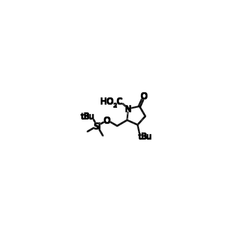 CC(C)(C)C1CC(=O)N(C(=O)O)C1CO[Si](C)(C)C(C)(C)C